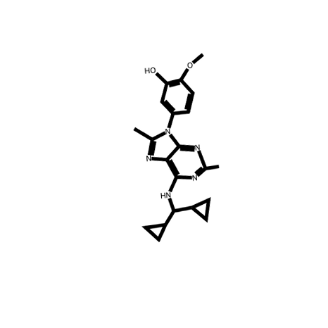 COc1ccc(-n2c(C)nc3c(NC(C4CC4)C4CC4)nc(C)nc32)cc1O